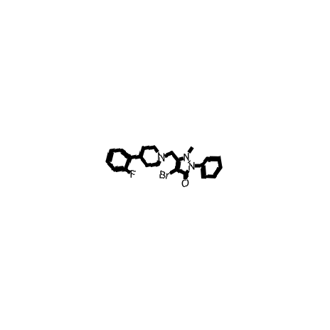 Cn1c(CN2CCC(c3ccccc3F)CC2)c(Br)c(=O)n1-c1ccccc1